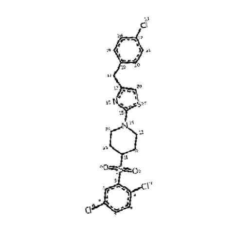 O=S(=O)(c1cc(Cl)ccc1Cl)C1CCN(c2nc(Cc3ccc(Cl)cc3)cs2)CC1